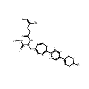 C/C=C(\SCC(=O)N[C@@H](CC1=CC=C(c2ncc(C3=CCC(CC)CC3)cn2)CC=C1)C(=O)NC(C)C)C(C)(C)C